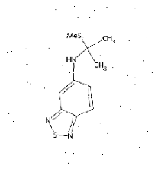 CSC(C)(C)Nc1ccc2nsnc2c1